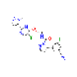 Cn1nccc1-c1ncc(F)c(OC2CN(C(=O)N3N=CCC3c3cc(F)cc(C#N)c3)C2)n1